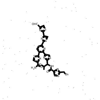 CC(C)Cc1nc(C(=O)NC(c2nc(-c3nc(-c4nc(-c5nc(C=O)cs5)cs4)ccc3-c3nc(C(N)=O)cs3)cs2)C(C)O)cs1